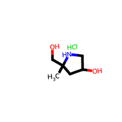 CC1(CO)CC(O)CN1.Cl